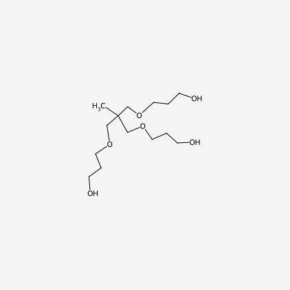 CC(COCCCO)(COCCCO)COCCCO